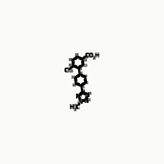 Cn1nnc(-c2ccc(-c3cc(C(=O)O)ccc3Cl)cc2)n1